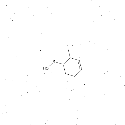 CC1C=CCCC1SO